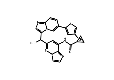 Cc1csc(-c2ccc3nnc(C(C)c4cc(NC(=O)C5CC5)c5nccn5n4)n3c2)c1